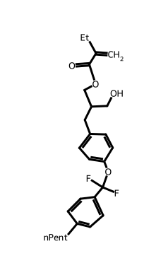 C=C(CC)C(=O)OCC(CO)Cc1ccc(OC(F)(F)c2ccc(CCCCC)cc2)cc1